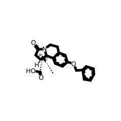 C[C@H]1C[C@@]23c4ccc(OCc5ccccc5)cc4CCN2C(=O)C[C@H]3[C@@H]1C(=O)O